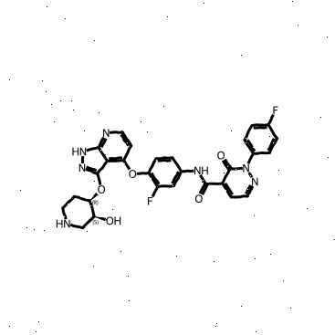 O=C(Nc1ccc(Oc2ccnc3[nH]nc(O[C@@H]4CCNC[C@@H]4O)c23)c(F)c1)c1ccnn(-c2ccc(F)cc2)c1=O